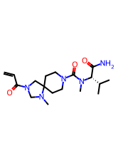 C=CC(=O)N1CN(C)C2(CCN(C(=O)N(C)[C@H](C(N)=O)C(C)C)CC2)C1